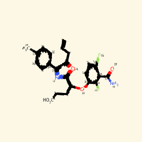 C=CCc1oc(C(CCC(=O)O)Oc2ccc(F)c(C(N)=O)c2F)nc1-c1ccc(C(F)(F)F)cc1